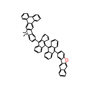 C[Si]1(C)c2ccc(-c3c4ccccc4c(-c4c5ccccc5c(-c5ccc6oc7cc8ccccc8cc7c6c5)c5ccccc45)c4ccccc34)cc2-c2cc3c4ccccc4c4ccccc4c3cc21